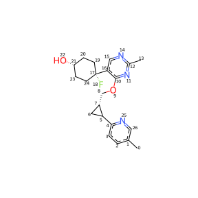 Cc1ccc(C2C[C@@H]2COc2nc(C)ncc2[C@]2(F)CC[C@@H](O)CC2)nc1